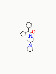 O=C(C(c1ccccc1)C1CCCC1)N1CCC(N2CCCCC2)CC1